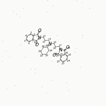 O=C1c2ccccc2C(=O)N1CCCN(CCCN1C(=O)c2ccccc2C1=O)C1CCCCC1